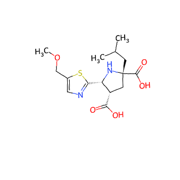 COCc1cnc([C@@H]2N[C@](CC(C)C)(C(=O)O)C[C@@H]2C(=O)O)s1